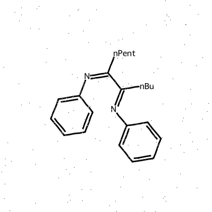 CCCCCC(=Nc1ccccc1)C(CCCC)=Nc1ccccc1